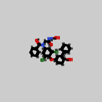 O=C(CN(C(=O)c1ccccc1)c1cc(Cl)c(Oc2ccc(O)c(-c3ccccc3)c2)c(Cl)c1)NO